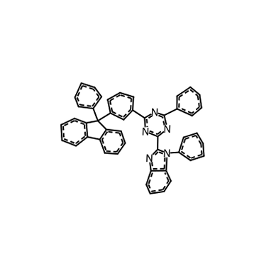 c1ccc(-c2nc(-c3cccc(C4(c5ccccc5)c5ccccc5-c5ccccc54)c3)nc(-c3nc4ccccc4n3-c3ccccc3)n2)cc1